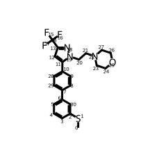 CSc1cccc(-c2ccc(-c3cc(C(F)(F)F)nn3CCN3CCOCC3)cc2)c1